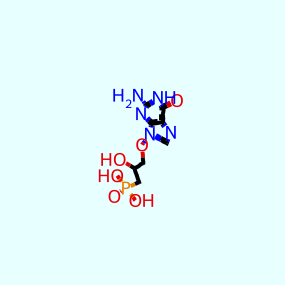 Nc1nc2c(ncn2OCC(O)CP(=O)(O)O)c(=O)[nH]1